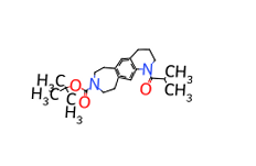 CC(C)C(=O)N1CCCc2cc3c(cc21)CCN(C(=O)OC(C)(C)C)CC3